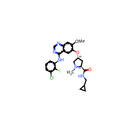 COc1cc2ncnc(Nc3cccc(Cl)c3F)c2cc1O[C@@H]1C[C@@H](C(=O)NCC2CC2)N(C)C1